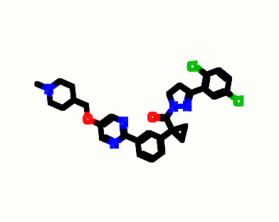 CN1CCC(COc2cnc(-c3cccc(C4(C(=O)N5CCC(c6cc(Cl)ccc6Cl)=N5)CC4)c3)nc2)CC1